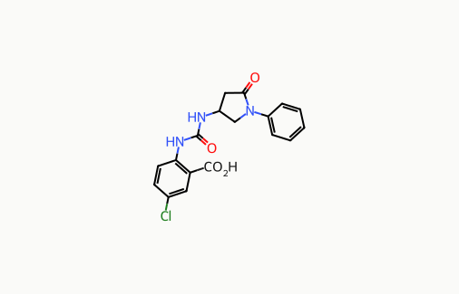 O=C(Nc1ccc(Cl)cc1C(=O)O)NC1CC(=O)N(c2ccccc2)C1